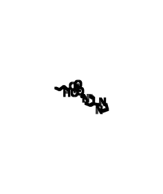 CCCCOP(=O)(O)OC[n+]1ccc(-c2ncccn2)cc1